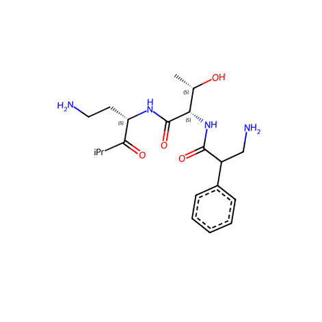 CC(C)C(=O)[C@H](CCN)NC(=O)[C@@H](NC(=O)C(CN)c1ccccc1)[C@H](C)O